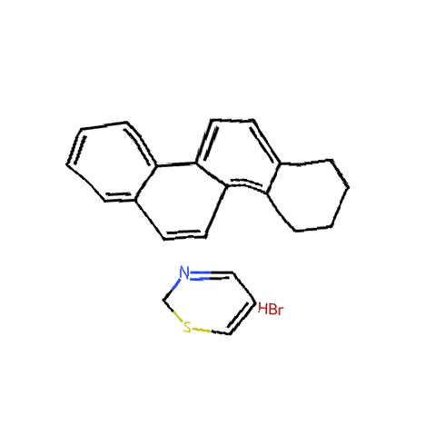 Br.C1=CSCN=C1.c1ccc2c(c1)ccc1c3c(ccc12)CCCC3